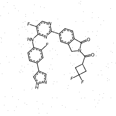 O=C1c2ccc(-c3ncc(F)c(Nc4ccc(-c5cn[nH]c5)cc4F)n3)cc2CN1C(=O)C1CC(F)(F)C1